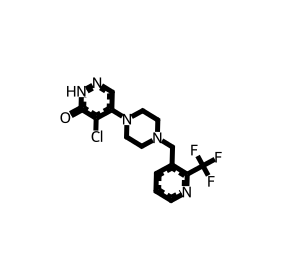 O=c1[nH]ncc(N2CCN(Cc3cccnc3C(F)(F)F)CC2)c1Cl